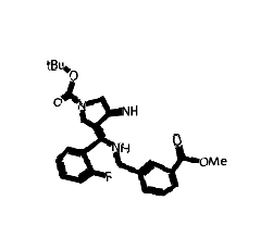 COC(=O)c1cccc(CN/C(=C2/CN(C(=O)OC(C)(C)C)CC2=N)c2ccccc2F)c1